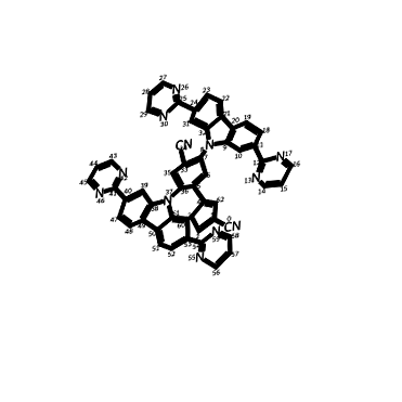 N#CC1=CCC(c2cc(-n3c4cc(-c5ncccn5)ccc4c4ccc(-c5ncccn5)cc43)c(C#N)cc2-n2c3cc(-c4ncccn4)ccc3c3ccc(-c4ncccn4)cc32)=C1